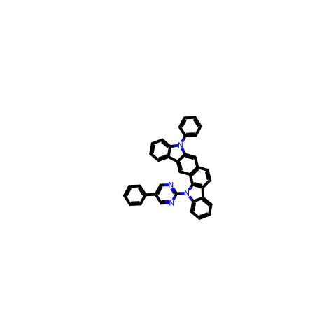 c1ccc(-c2cnc(-n3c4ccccc4c4ccc5cc6c(cc5c43)c3ccccc3n6-c3ccccc3)nc2)cc1